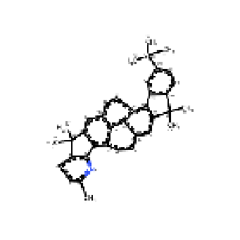 Cc1ccc2c(n1)-c1c(cc3ccc4c5c(cc6ccc1c3c64)C(C)(C)c1ccc([Si](C)(C)C)cc1-5)C2(C)C